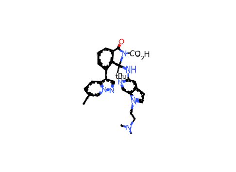 Cc1ccc2c(-c3cccc4c3C(Nc3cc5ccn(CCN(C)C)c5cn3)(C(C)(C)C)N(C(=O)O)C4=O)cnn2c1